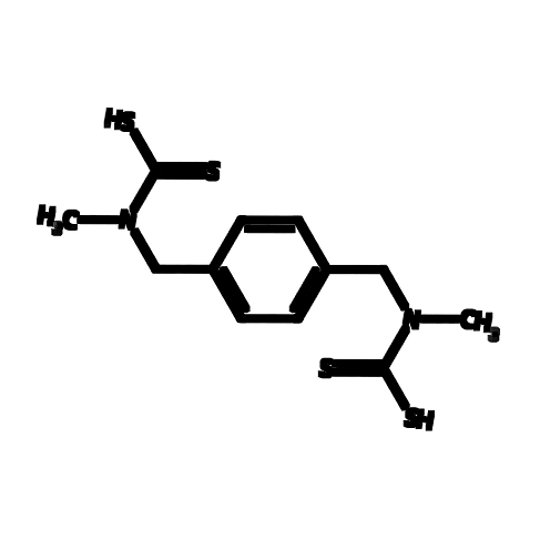 CN(Cc1ccc(CN(C)C(=S)S)cc1)C(=S)S